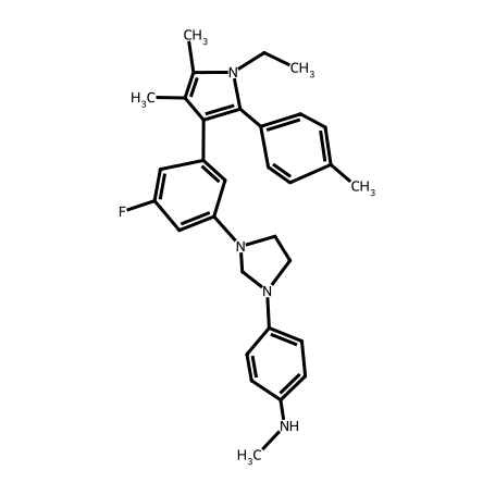 CCn1c(C)c(C)c(-c2cc(F)cc(N3CCN(c4ccc(NC)cc4)C3)c2)c1-c1ccc(C)cc1